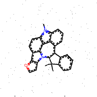 Cn1c2cccc3c4c(n5c6ccoc6c6ccc1c(c32)c65)C(C)(C)c1ccccc1-4